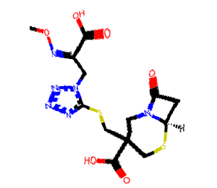 CON=C(Cn1nnnc1SCC1(C(=O)O)CS[C@@H]2CC(=O)N2C1)C(=O)O